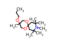 CCCOC1(C)COC2(CC(C)(C)N(C)C(C)(C)C2)OC1